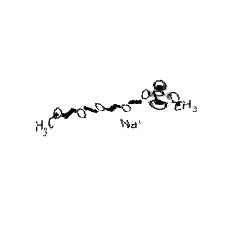 COCCOCCOCCOCCOP(=O)([O-])OC.[Na+]